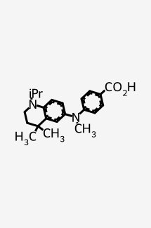 CC(C)N1CCC(C)(C)c2cc(N(C)c3ccc(C(=O)O)cc3)ccc21